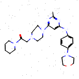 CSc1nc(Nc2ccc(N3CCOCC3)cc2)cc(N2CCN(CC(=O)N3CCCCC3)CC2)n1